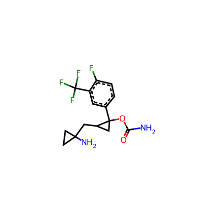 NC(=O)OC1(c2ccc(F)c(C(F)(F)F)c2)CC1CC1(N)CC1